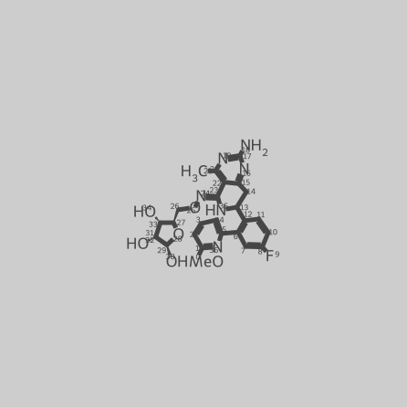 COc1cccc(-c2cc(F)ccc2C2Cc3nc(N)nc(C)c3/C(=N/OC[C@H]3O[C@@H](O)[C@H](O)[C@@H]3O)N2)n1